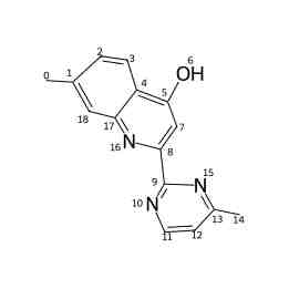 Cc1ccc2c(O)cc(-c3nccc(C)n3)nc2c1